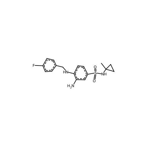 CC1(NS(=O)(=O)c2ccc(NCc3ccc(F)cc3)c(N)c2)CC1